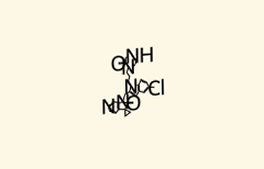 O=C1CNCCN1CCCn1c(CN2C(=O)C3(CC3)c3ccncc32)cc2cc(Cl)ccc21